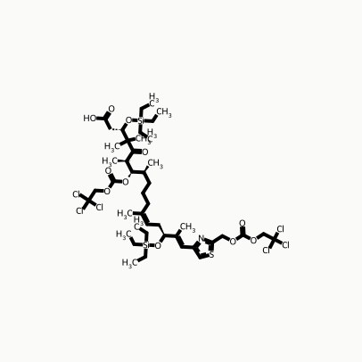 CC[Si](CC)(CC)O[C@@H](C/C=C(/C)CCC[C@H](C)[C@H](OC(=O)OCC(Cl)(Cl)Cl)[C@@H](C)C(=O)C(C)(C)[C@H](CC(=O)O)O[Si](CC)(CC)CC)/C(C)=C/c1csc(COC(=O)OCC(Cl)(Cl)Cl)n1